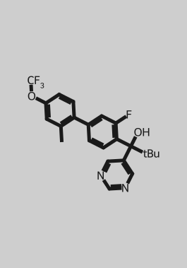 Cc1cc(OC(F)(F)F)ccc1-c1ccc(C(O)(c2cncnc2)C(C)(C)C)c(F)c1